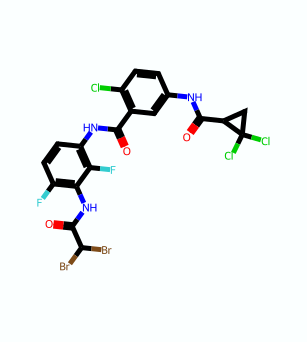 O=C(Nc1ccc(F)c(NC(=O)C(Br)Br)c1F)c1cc(NC(=O)C2CC2(Cl)Cl)ccc1Cl